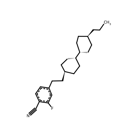 CCC[C@H]1CC[C@H]([C@H]2CC[C@H](CCc3ccc(C#N)c(F)c3)CC2)CC1